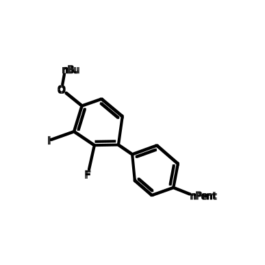 CCCCCc1ccc(-c2ccc(OCCCC)c(I)c2F)cc1